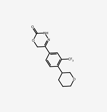 O=C1NN=C(c2ccc(C3CCCOC3)c(C(F)(F)F)c2)CO1